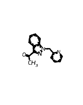 CC(=O)c1nn(Cc2ccccn2)c2ccccc12